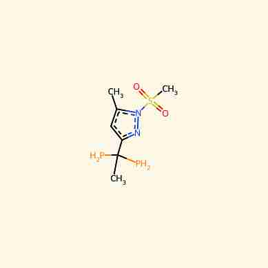 Cc1cc(C(C)(P)P)nn1S(C)(=O)=O